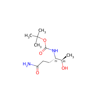 C[C@@H](O)[C@H](CCC(N)=O)NC(=O)OC(C)(C)C